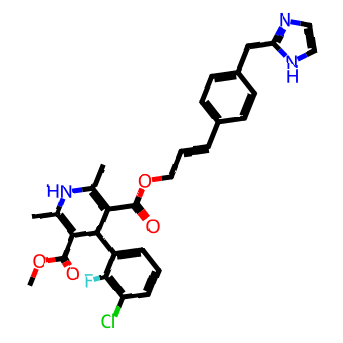 COC(=O)C1=C(C)NC(C)=C(C(=O)OCC=Cc2ccc(Cc3ncc[nH]3)cc2)C1c1cccc(Cl)c1F